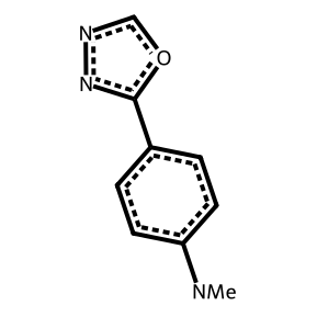 CNc1ccc(-c2nnco2)cc1